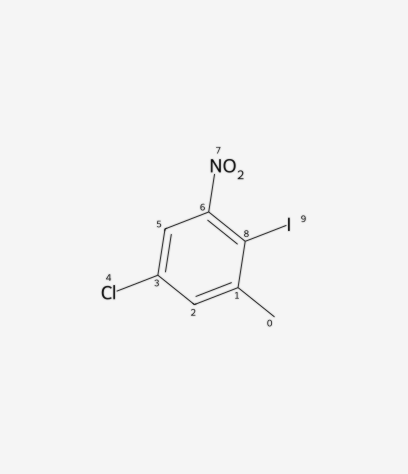 Cc1cc(Cl)cc([N+](=O)[O-])c1I